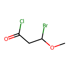 COC(Br)CC(=O)Cl